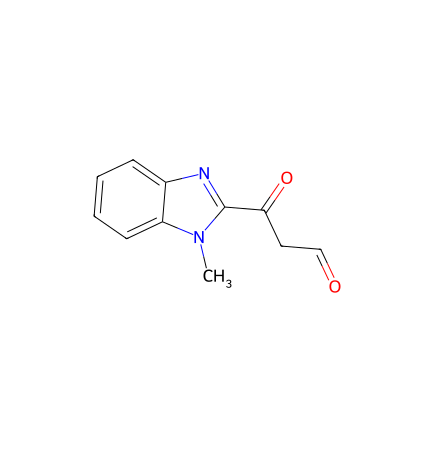 Cn1c(C(=O)CC=O)nc2ccccc21